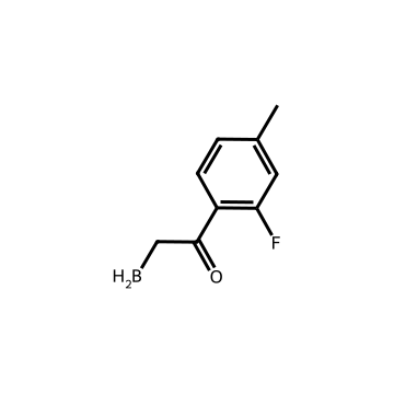 BCC(=O)c1ccc(C)cc1F